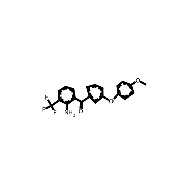 COc1ccc(Oc2cccc(C(=O)c3cccc(C(F)(F)F)c3N)c2)cc1